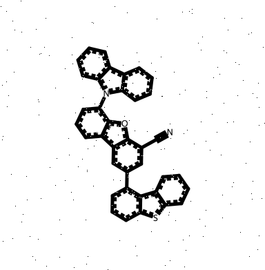 N#Cc1cc(-c2cccc3sc4ccccc4c23)cc2c1oc1c(-n3c4ccccc4c4ccccc43)cccc12